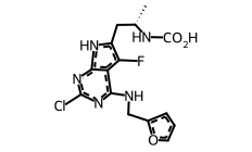 C[C@@H](Cc1[nH]c2nc(Cl)nc(NCc3ccco3)c2c1F)NC(=O)O